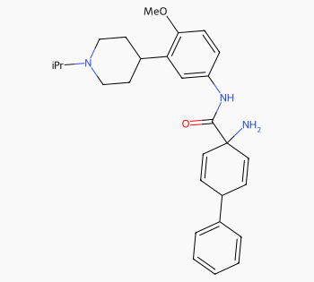 COc1ccc(NC(=O)C2(N)C=CC(c3ccccc3)C=C2)cc1C1CCN(C(C)C)CC1